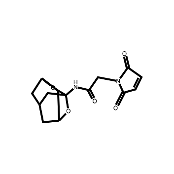 O=C(CN1C(=O)C=CC1=O)NC12CC3CC(CC(C3)O1)O2